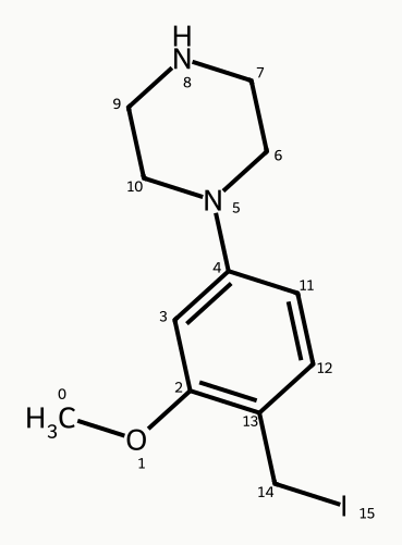 COc1cc(N2CCNCC2)ccc1CI